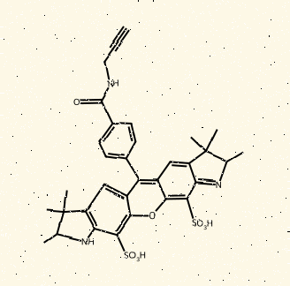 C#CCNC(=O)c1ccc(C2=c3cc4c(c(S(=O)(=O)O)c3Oc3c2cc2c(c3S(=O)(=O)O)NC(C)C2(C)C)=NC(C)C4(C)C)cc1